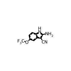 N#Cc1c(N)[nH]c2ccc(OC(F)(F)F)cc12